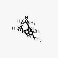 C=CC[C@H]1[C@@H]2O[C@@]34C(C)=C[C@@H](C)[C@H](O)[C@@H](C)OC(=O)[C@@H](OC)C[C@H]3C=C[C@@H]2[C@H]4C(=O)[C@@H]1C